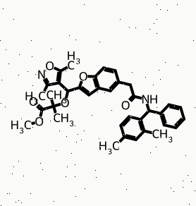 COC(=O)C(C)(C)OC(c1cc2cc(CC(=O)NC(c3ccccc3)c3ccc(C)cc3C)ccc2o1)c1c(C)noc1C